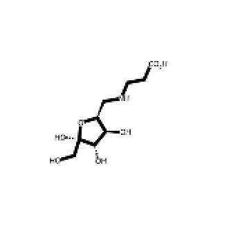 O=C(O)CCNC[C@@H]1O[C@](O)(CO)[C@@H](O)[C@@H]1O